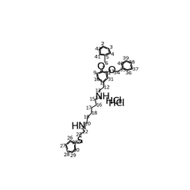 Cl.Cl.c1ccc(COc2ccc(CCNCCCCCCNCCSc3ccccc3)cc2OCc2ccccc2)cc1